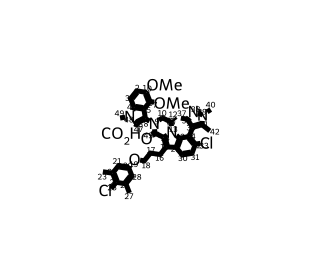 COc1ccc2c(c1OC)c(N1C[C@@H](C)n3c(c(CCCOc4cc(C)c(Cl)c(C)c4)c4ccc(Cl)c(-c5c(C)nn(C)c5C)c43)C1=O)c(C(=O)O)n2C